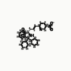 O=C(O)[C@H](CC=Cc1ccc([N+](=O)[O-])cn1)NC(c1ccccc1)(c1ccccc1)c1ccccc1